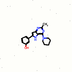 Cc1nc(N2CCCCC2)c2[nH]c(-c3cccc(O)c3)cc2n1